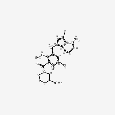 COC1CCCN(C(=O)c2c(F)c(Cl)cc([C@H](C)c3nc(C)c4c(N)nccn34)c2OC(C)C)C1